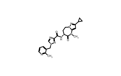 Cc1ncccc1Cn1cnc(C(=O)N[C@H]2CCn3nc(C4CC4)cc3N(C)C2=O)n1